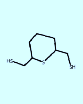 SCC1CCCC(CS)S1